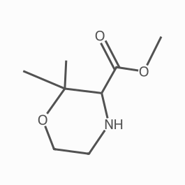 COC(=O)C1NCCOC1(C)C